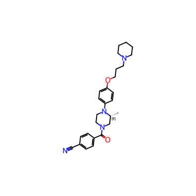 C[C@@H]1CN(C(=O)c2ccc(C#N)cc2)CCN1c1ccc(OCCCN2CCCCC2)cc1